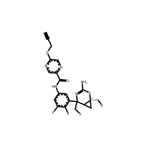 C#CCOc1cnc(C(=O)Nc2cc(F)c(F)c(C3(CF)N=C(N)S[C@@]4(CF)CC34)c2)cn1